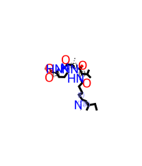 CC/C(C)=C/C(/C=C/CC(=O)N[C@H](C(=O)N[C@@H](C)C(=O)N1CCC[C@@H](C(=O)OC)N1)C(C)C)=N\C